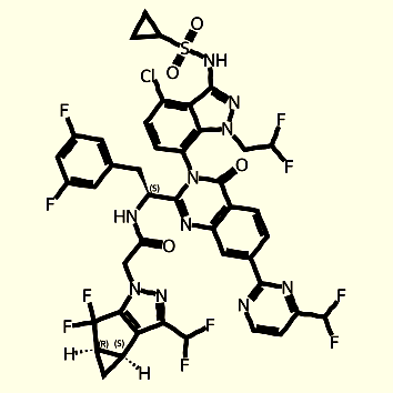 O=C(Cn1nc(C(F)F)c2c1C(F)(F)[C@@H]1C[C@H]21)N[C@@H](Cc1cc(F)cc(F)c1)c1nc2cc(-c3nccc(C(F)F)n3)ccc2c(=O)n1-c1ccc(Cl)c2c(NS(=O)(=O)C3CC3)nn(CC(F)F)c12